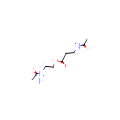 CC(=O)NCCOC(=O)CCNC(C)=O